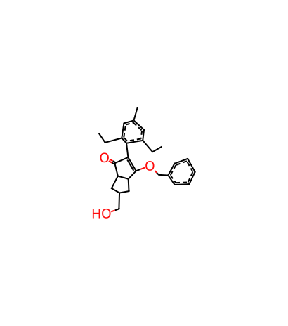 CCc1cc(C)cc(CC)c1C1=C(OCc2ccccc2)C2CC(CO)CC2C1=O